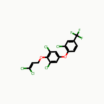 FC(F)(F)c1ccc(Oc2cc(Cl)c(OCC=C(Cl)Cl)c(Cl)c2)c(Cl)c1